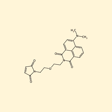 CN(C)c1ccc2c3c(cccc13)C(=O)N(CCOCCN1C(=O)C=CC1=O)C2=O